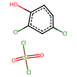 O=S(=O)(Cl)Cl.Oc1ccc(Cl)cc1Cl